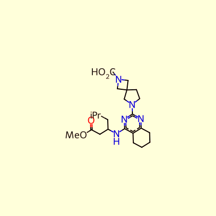 COC(=O)CC(CC(C)C)Nc1nc(N2CCC3(CN(C(=O)O)C3)C2)nc2c1CCCC2